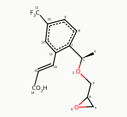 C[C@@H](OCC1CO1)c1ccc(C(F)(F)F)cc1C=CC(=O)O